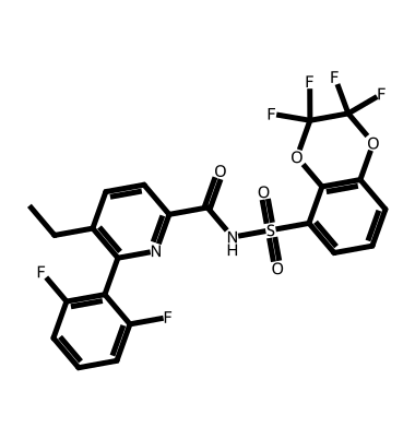 CCc1ccc(C(=O)NS(=O)(=O)c2cccc3c2OC(F)(F)C(F)(F)O3)nc1-c1c(F)cccc1F